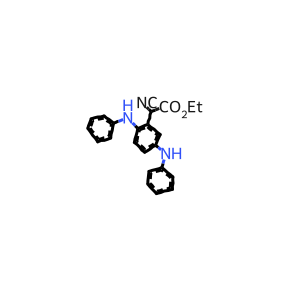 CCOC(=O)C(C#N)c1cc(Nc2ccccc2)ccc1Nc1ccccc1